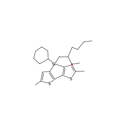 CCCCC(CC)C[Si]1(C2CCCCC2)c2cc(C)sc2-c2sc(C)cc21